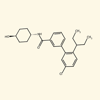 CCC(CC)c1ccc(Cl)cc1-c1cccc(C(=O)N[C@H]2CC[C@H](O)CC2)c1